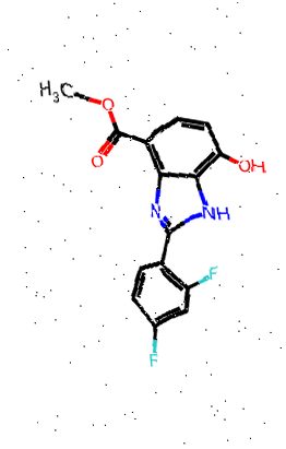 COC(=O)c1ccc(O)c2[nH]c(-c3ccc(F)cc3F)nc12